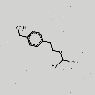 CCCCCCC(C)OCCc1ccc(CC(=O)O)cc1